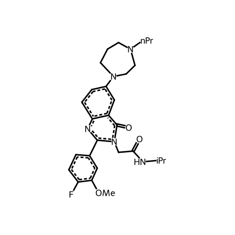 CCCN1CCCN(c2ccc3nc(-c4ccc(F)c(OC)c4)n(CC(=O)NC(C)C)c(=O)c3c2)CC1